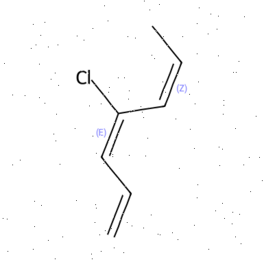 C=C/C=C(Cl)\C=C/C